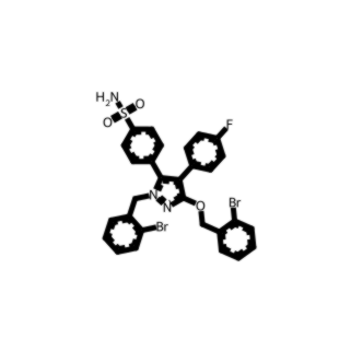 NS(=O)(=O)c1ccc(-c2c(-c3ccc(F)cc3)c(OCc3ccccc3Br)nn2Cc2ccccc2Br)cc1